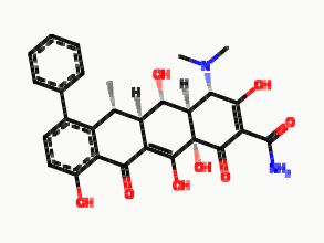 C[C@H]1c2c(-c3ccccc3)ccc(O)c2C(=O)C2=C(O)[C@]3(O)C(=O)C(C(N)=O)=C(O)[C@@H](N(C)C)[C@@H]3[C@@H](O)[C@@H]21